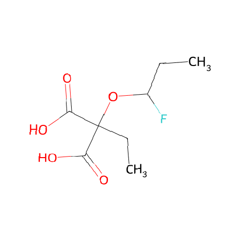 CCC(F)OC(CC)(C(=O)O)C(=O)O